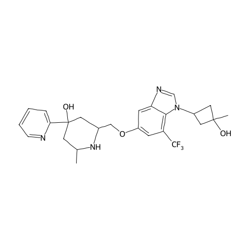 CC1CC(O)(c2ccccn2)CC(COc2cc(C(F)(F)F)c3c(c2)ncn3C2CC(C)(O)C2)N1